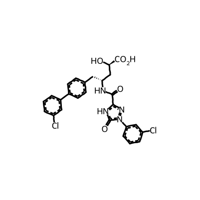 O=C(N[C@H](Cc1ccc(-c2cccc(Cl)c2)cc1)C[C@@H](O)C(=O)O)c1nn(-c2cccc(Cl)c2)c(=O)[nH]1